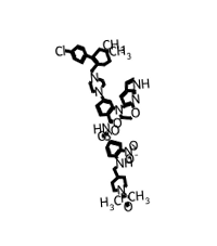 CC1(C)CCC(CN2CCN(c3ccc(C(=O)NS(=O)(=O)c4ccc(NCC5CCN(P(C)(C)=O)CC5)c([N+](=O)[O-])c4)c(N4CCOc5nc6[nH]ccc6cc54)c3)CC2)=C(c2ccc(Cl)cc2)C1